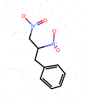 O=[N+]([O-])CC(Cc1ccccc1)[N+](=O)[O-]